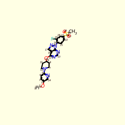 CC(C)Oc1ccc(N2CCC(Oc3ncnc4c3cnn4-c3ccc(S(C)(=O)=O)cc3F)CC2)nc1